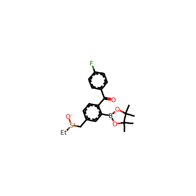 CC[S+]([O-])Cc1ccc(C(=O)c2ccc(F)cc2)c(B2OC(C)(C)C(C)(C)O2)c1